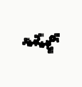 COc1cc(-c2cc(CC(=O)O)c(-c3ccc(-c4sc(-c5ccc(C(=O)O)s5)cc4CC(=O)O)s3)s2)ccc1O